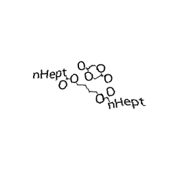 CCCCCCCC(=O)OCCCCOC(=O)CCCCCCC.O=C1COC(=O)CO1